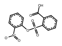 O=C(O)c1ccccc1S(=O)(=O)Oc1ccccc1[N+](=O)[O-]